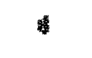 Cc1cc(C(C2CCOCC2)n2c3cc(-c4c(C)nnn4C)c(F)cc3c3ncc(C(C)(C)O)cc32)no1